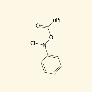 CCCC(=O)ON(Cl)c1ccccc1